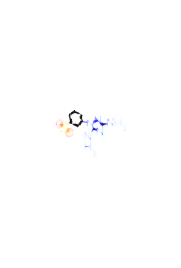 CS(=O)(=O)c1cccc(-n2nc(N)nc2N)c1